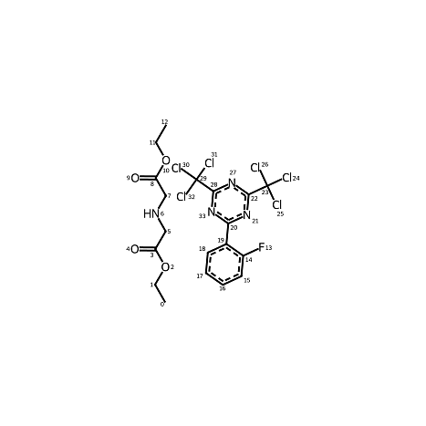 CCOC(=O)CNCC(=O)OCC.Fc1ccccc1-c1nc(C(Cl)(Cl)Cl)nc(C(Cl)(Cl)Cl)n1